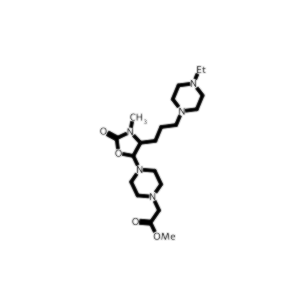 CCN1CCN(CCCC2C(N3CCN(CC(=O)OC)CC3)OC(=O)N2C)CC1